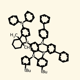 CC(C)(C)c1cccc(N2c3cc(C(C)(C)C)ccc3B3c4cc(-c5ccccc5)ccc4N(c4ccc(-c5ccccc5)cc4)c4cc(N5c6ccc(N(c7ccccc7)c7ccccc7)cc6C6(C)CCCCC56C)cc2c43)c1